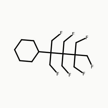 FCC(CF)(CF)C(CF)(CF)C(CF)(CF)C1CCCCC1